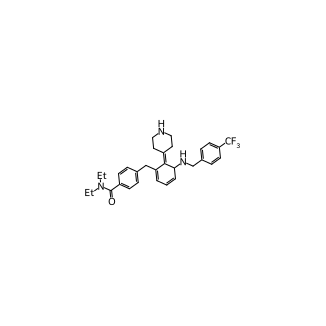 CCN(CC)C(=O)c1ccc(CC2=CC=CC(NCc3ccc(C(F)(F)F)cc3)C2=C2CCNCC2)cc1